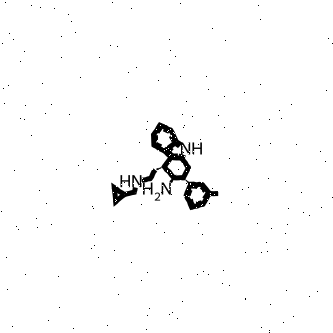 Cc1cccc([C@H]2Cc3[nH]c4ccccc4c3[C@@H](CCNCC3CC3)[C@@H]2N)c1